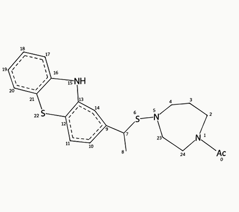 CC(=O)N1CCCN(SC(C)c2ccc3c(c2)Nc2ccccc2S3)CC1